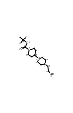 CC(C)(C)OC(=O)N1CCC(N2CCN(CCO)CC2)CC1